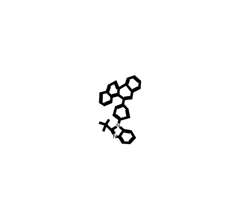 CC(C)(C)c1nc2ccccc2n1-c1ccc(-c2cc3ccccc3c3ccc4ccccc4c23)cc1